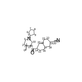 C[C@H]1CCN(C2CCCC2)C[C@@H]1C(=O)C1CCC2CC(C#N)CCC2C1